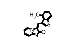 Cc1cccc2scc(C=C3C(=O)N=C4C=CC=CN34)c12